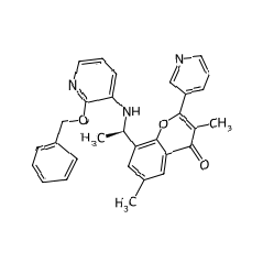 Cc1cc([C@@H](C)Nc2cccnc2OCc2ccccc2)c2oc(-c3cccnc3)c(C)c(=O)c2c1